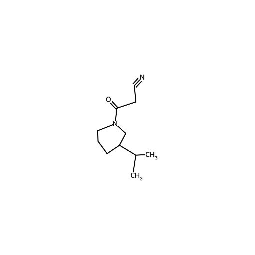 CC(C)C1CCCN(C(=O)CC#N)C1